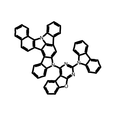 c1ccc2c(c1)ccc1c3c4c5ccccc5n(-c5nc(-n6c7ccccc7c7ccccc76)nc6oc7ccccc7c56)c4cc4c5ccccc5n(c21)c43